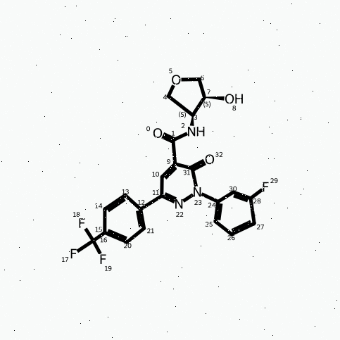 O=C(N[C@H]1COC[C@H]1O)c1cc(-c2ccc(C(F)(F)F)cc2)nn(-c2cccc(F)c2)c1=O